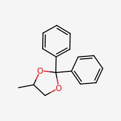 CC1COC(c2ccccc2)(c2ccccc2)O1